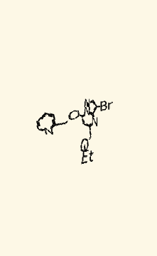 CCOCc1cc(OCc2ccccn2)n2ncc(Br)c2n1